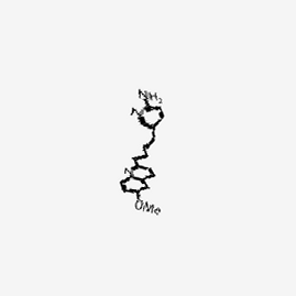 COc1ccc2nc(/C=C/C=C/c3ccc(N)nc3)ccc2c1